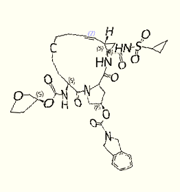 O=C(N[C@H]1CCCCC/C=C\[C@@H]2C[C@@]2(C(=O)NS(=O)(=O)C2CC2)NC(=O)C2C[C@@H](OC(=O)N3Cc4ccccc4C3)CN2C1=O)O[C@H]1CCOC1